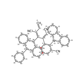 C=C/C(C#N)=C(\C(=C/C#N)c1cccc(C#N)c1-n1c2ccccc2c2ccccc21)c1c2ccccc2c(-c2ccccc2)c2ccccc12